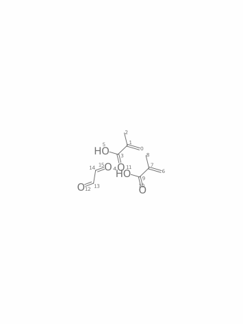 C=C(C)C(=O)O.C=C(C)C(=O)O.O=CC=O